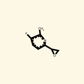 Cc1nc(C2CO2)ccc1F